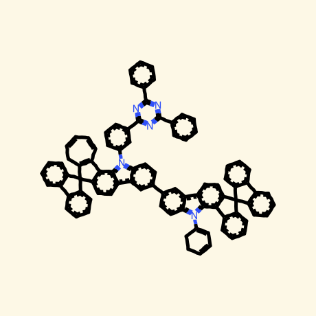 C1=CCCC(n2c3ccc(-c4ccc5c(c4)c4ccc6c(c4n5-c4cccc(-c5nc(-c7ccccc7)nc(-c7ccccc7)n5)c4)C4=C(CC=CC=C4)C64c5ccccc5-c5ccccc54)cc3c3ccc4c(c32)-c2ccccc2C42c3ccccc3-c3ccccc32)=C1